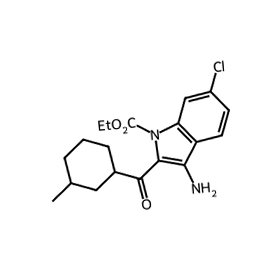 CCOC(=O)n1c(C(=O)C2CCCC(C)C2)c(N)c2ccc(Cl)cc21